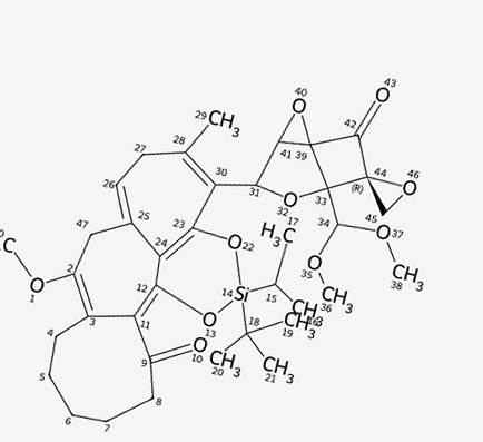 COC1=C2CCCCCC(=O)C2=C2O[Si](C(C)C)(C(C)(C)C)OC3=C2C(=CCC(C)=C3C2OC3(C(OC)OC)C4(OC24)C(=O)[C@@]32CO2)C1